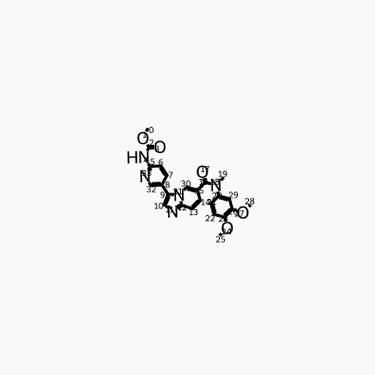 COC(=O)Nc1ccc(-c2cnc3ccc(C(=O)N(C)c4ccc(OC)c(OC)c4)cn23)cn1